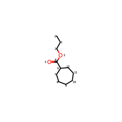 CCCOC(=O)C1CCCCCC1